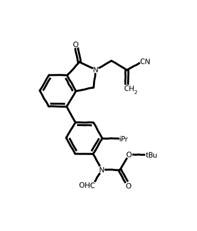 C=C(C#N)CN1Cc2c(cccc2-c2ccc(N(C=O)C(=O)OC(C)(C)C)c(C(C)C)c2)C1=O